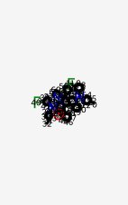 Cc1ccc(N(c2cccc(F)c2)c2cc3c(c4ccccc24)-c2c(cc(N(c4ccc(C)cc4)c4cccc(F)c4)c4oc5ccccc5c24)C3(c2ccccc2)c2ccccn2)cc1